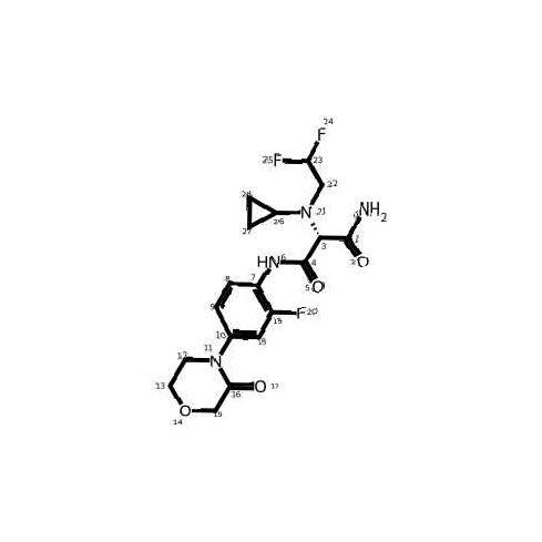 NC(=O)[C@H](C(=O)Nc1ccc(N2CCOCC2=O)cc1F)N(CC(F)F)C1CC1